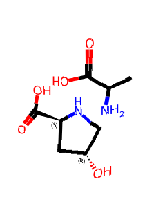 CC(N)C(=O)O.O=C(O)[C@@H]1C[C@@H](O)CN1